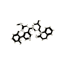 COC(=O)C[C@H](NC[C@H](CC(C)C)N1C(=O)CCc2ccccc21)c1cncc(-c2c(C)cccc2C)c1